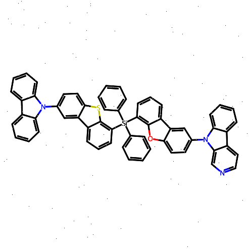 c1ccc([Si](c2ccccc2)(c2cccc3c2oc2ccc(-n4c5ccccc5c5ccncc54)cc23)c2cccc3c2sc2ccc(-n4c5ccccc5c5ccccc54)cc23)cc1